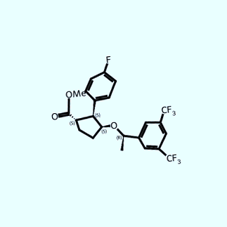 COC(=O)[C@H]1CC[C@H](O[C@H](C)c2cc(C(F)(F)F)cc(C(F)(F)F)c2)[C@@H]1c1ccc(F)cc1